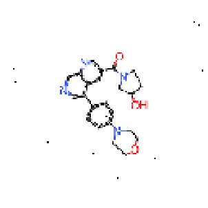 O=C(c1cnc2cncc(-c3ccc(N4CCOCC4)cc3)c2c1)N1CC[C@@H](O)C1